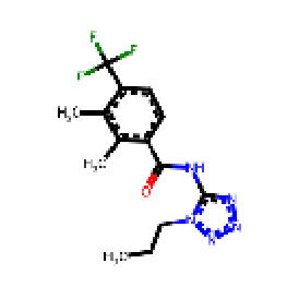 CCCn1nnnc1NC(=O)c1ccc(C(F)(F)F)c(C)c1C